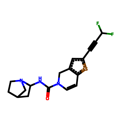 O=C(NC1CC2CCN1C2)N1C=Cc2sc(C#CC(F)F)cc2C1